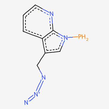 [N-]=[N+]=NCc1cn(P)c2ncccc12